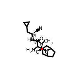 CN(C)C(=O)N1C2CCC1CC(C(N)C(=O)N[C@H](C#N)CC1CC1)C2